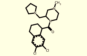 CN1CCN(C(=O)C2CCCc3cc(Cl)c(Cl)cc32)C(CN2CCCC2)C1